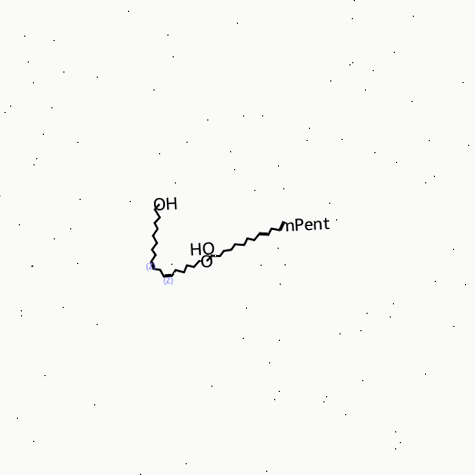 CCCCCC=CCC=CCCCCCCCC(O)OCCCCC/C=C\C/C=C\CCCCCCCCO